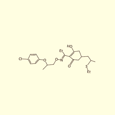 CCSC(C)CC1CC(=O)C(C(CC)=NOCC(C)Oc2ccc(Cl)cc2)=C(O)C1